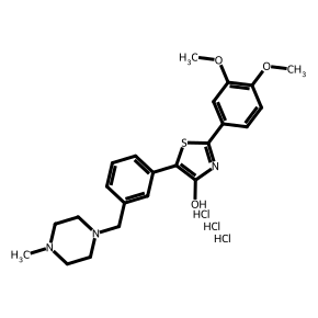 COc1ccc(-c2nc(O)c(-c3cccc(CN4CCN(C)CC4)c3)s2)cc1OC.Cl.Cl.Cl